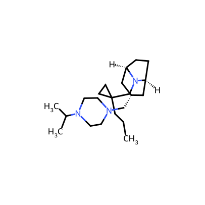 CCCC1(CN2[C@@H]3CC[C@H]2C[C@H](CN2CCN(C(C)C)CC2)C3)CC1